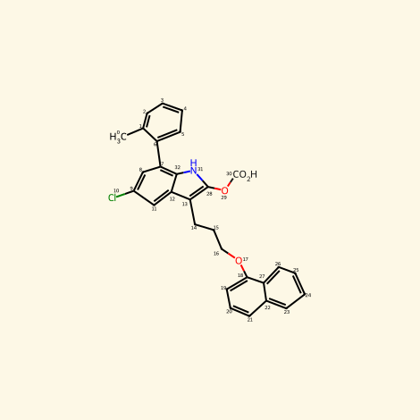 Cc1ccccc1-c1cc(Cl)cc2c(CCCOc3cccc4ccccc34)c(OC(=O)O)[nH]c12